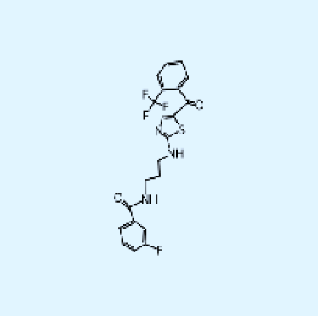 O=C(NCCCNc1ncc(C(=O)c2ccccc2C(F)(F)F)s1)c1cccc(F)c1